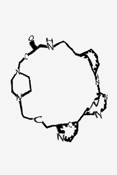 O=C1CCN2CCN(CCCc3cc(ccn3)-c3ncnc(n3)Nc3cccc(c3)CCN1)CC2